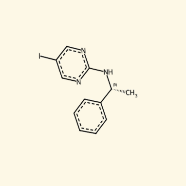 C[C@@H](Nc1ncc(I)cn1)c1ccccc1